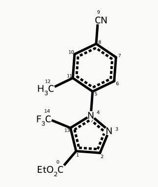 CCOC(=O)c1cnn(-c2ccc(C#N)cc2C)c1C(F)(F)F